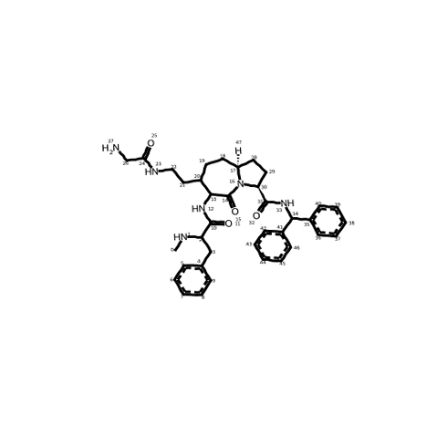 CNC(Cc1ccccc1)C(=O)NC1C(=O)N2[C@@H](CCC1CCNC(=O)CN)CC[C@H]2C(=O)NC(c1ccccc1)c1ccccc1